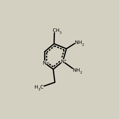 CCc1ncc(C)c(N)[n+]1N